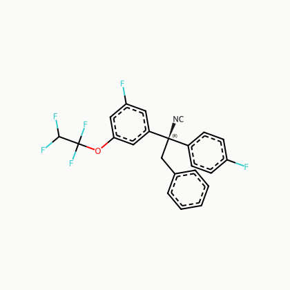 [C-]#[N+][C@](Cc1ccccc1)(c1ccc(F)cc1)c1cc(F)cc(OC(F)(F)C(F)F)c1